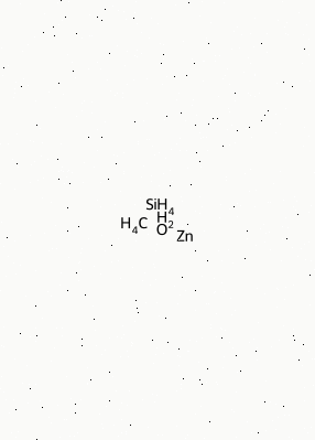 C.O.[SiH4].[Zn]